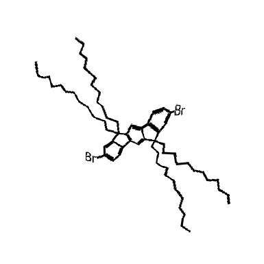 CCCCCCCCCCCCC1(CCCCCCCCCCCC)c2cc(Br)ccc2-c2cc3c(cc21)-c1ccc(Br)cc1C3(CCCCCCCCCCCC)CCCCCCCCCCCC